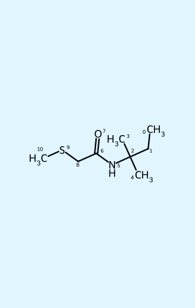 CCC(C)(C)NC(=O)CSC